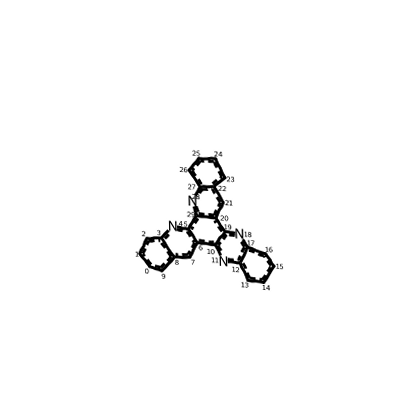 c1ccc2nc3c(cc2c1)c1nc2ccccc2nc1c1cc2ccccc2nc13